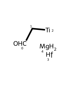 O=C[CH2][Ti].[Hf].[MgH2]